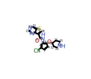 O=C(Nc1cc(Cl)ccc1OC1CCNCC1)c1csc2cncnc12